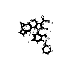 Cc1c(F)cc2c(cnn2C2CCCCO2)c1-n1c(N)c(C(N)=O)c2cnc(C3CC3)c(C=C3CCC3)c21